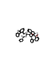 c1ccc(-c2nc(-c3ccc4c(c3)-c3ccccc3-c3ccccc3C43c4ccccc4Oc4cc5ccccc5cc43)nc(-c3cccc4oc5ccccc5c34)n2)cc1